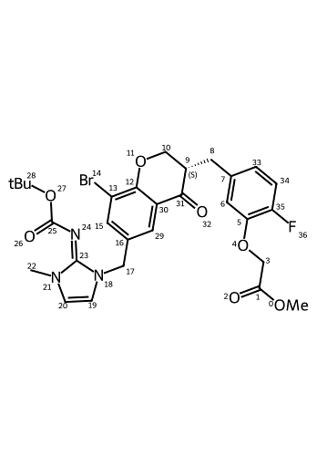 COC(=O)COc1cc(C[C@H]2COc3c(Br)cc(Cn4ccn(C)c4=NC(=O)OC(C)(C)C)cc3C2=O)ccc1F